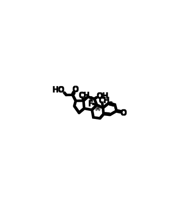 CC12CC(O)[C@@]3(F)C(CCC4=CC(=O)C=CC43C)C1CCC2C(=O)CO